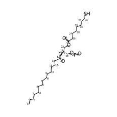 CCCCCCCCCCCCCCC(=O)O[C@@H](COP=O)COC(=O)CCCCCCCS